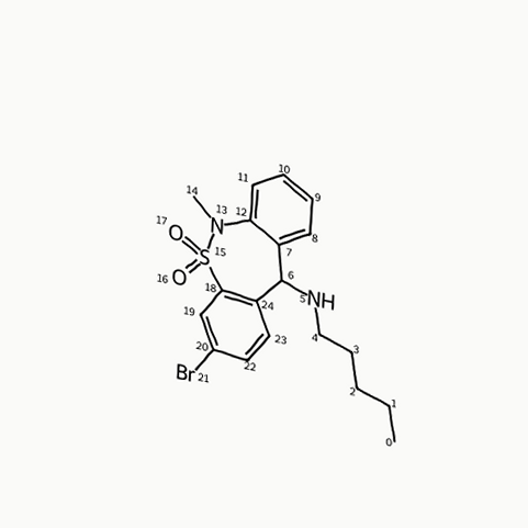 CCCCCNC1c2ccccc2N(C)S(=O)(=O)c2cc(Br)ccc21